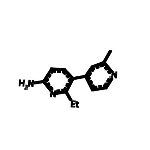 CCc1nc(N)ccc1-c1ccnc(C)c1